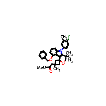 COC(=O)CC1(C)CC2(C1)OCC(C)(C)c1c2c2c(OCc3ccccc3)cccc2n1-c1ccc(F)c(C)c1